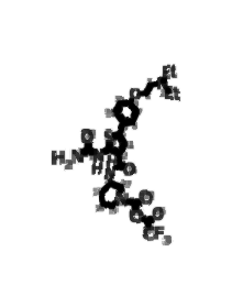 CCN(CC)CCOc1ccc(-c2cc(C(=O)N[C@@H]3CCCN(C(=O)OC(=O)C(F)(F)F)C3)c(NC(N)=O)s2)cc1